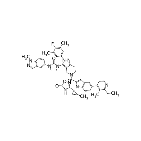 CCc1nccc(-c2ccc3c(c2)cc(C(=O)N2CCc4nn(-c5cc(C)c(F)c(C)c5)c(N5CCN(c6ccc7c(cnn7C)c6)C5=O)c4C2)n3[C@@]2(c3noc(=O)[nH]3)C[C@@H]2C)c1C